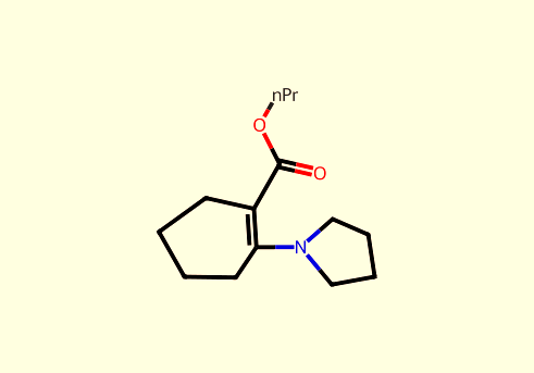 CCCOC(=O)C1=C(N2CCCC2)CCCC1